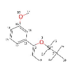 CC=C(O[Si](C)(C)C(C)(C)C)c1cccc(OC)c1